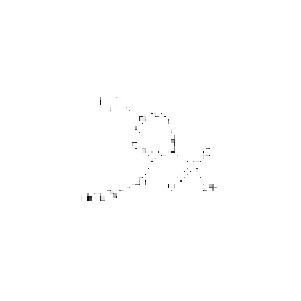 C#COc1cc(C)ccc1S(=O)(=O)O